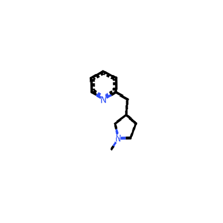 CN1CCC(Cc2ccccn2)C1